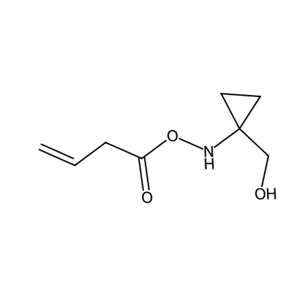 C=CCC(=O)ONC1(CO)CC1